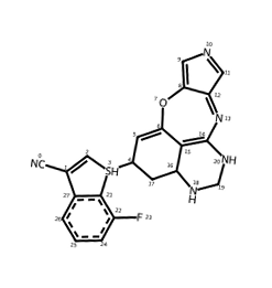 N#CC1=C[SH](C2C=C3OC4=CN=CC4=NC4=C3C(C2)NCN4)c2c(F)cccc21